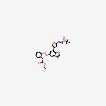 CCOC(=O)Cc1ccccc1OCc1cc(-c2coc(C=N[S@@+]([O-])C(C)(C)C)c2)c2occc2c1